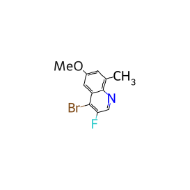 COc1cc(C)c2ncc(F)c(Br)c2c1